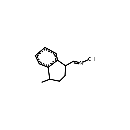 CC1CCC(C=NO)c2ccccc21